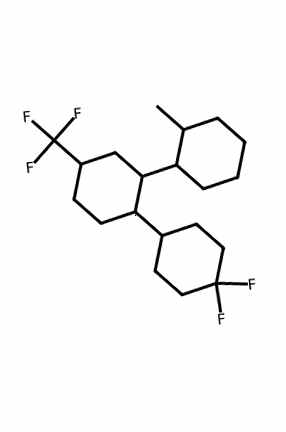 CC1CCCCC1C1CC(C(F)(F)F)CC[C]1C1CCC(F)(F)CC1